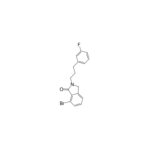 O=C1c2c(Br)cccc2CN1CCCc1cccc(F)c1